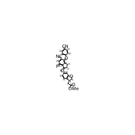 COC(=O)CC1COc2cc(O[C@@H]3CCc4c(Oc5ccc(C#N)cc5C#N)ccc(F)c43)ccc21